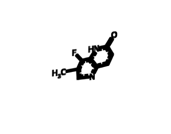 Cc1cnc2ccc(=O)[nH]c2c1F